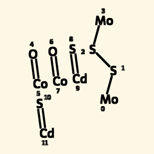 [Mo][S][S][Mo].[O]=[Co].[O]=[Co].[S]=[Cd].[S]=[Cd]